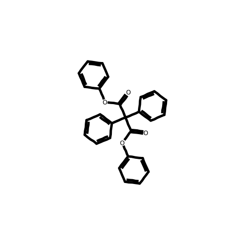 O=C(Oc1ccccc1)C(C(=O)Oc1ccccc1)(c1ccccc1)c1ccccc1